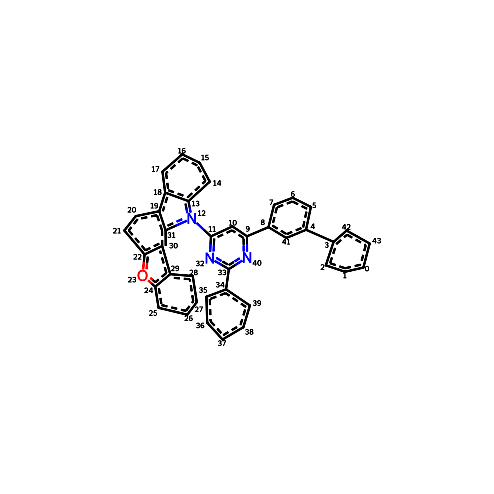 c1ccc(-c2cccc(-c3cc(-n4c5ccccc5c5ccc6oc7ccccc7c6c54)nc(-c4ccccc4)n3)c2)cc1